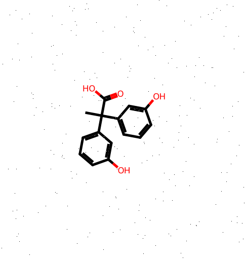 CC(C(=O)O)(c1cccc(O)c1)c1cccc(O)c1